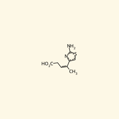 C/C(=C/CC(=O)O)c1csc(N)n1